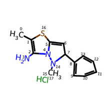 CC1=C(N)N2C(=CC(c3ccccc3)N2C)S1.Cl